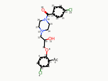 CC(=O)c1cc(Cl)ccc1OCC(O)CN1CCN(C(=O)c2ccc(Cl)cc2)CC1